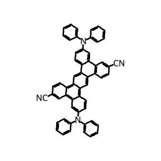 N#Cc1ccc2c(c1)c1cc(N(c3ccccc3)c3ccccc3)ccc1c1cc3c4ccc(C#N)cc4c4cc(N(c5ccccc5)c5ccccc5)ccc4c3cc21